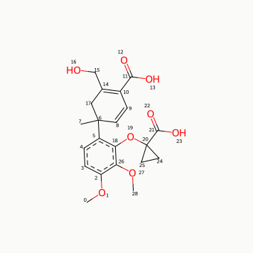 COc1ccc(C2(C)C=CC(C(=O)O)=C(CO)C2)c(OC2(C(=O)O)CC2)c1OC